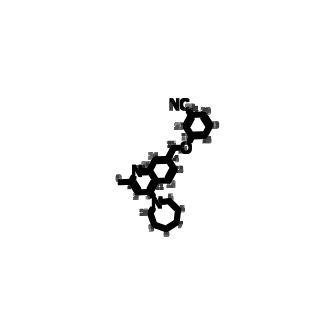 Cc1cc(N2CCCCCC2)c2ccc(COc3cccc(C#N)c3)cc2n1